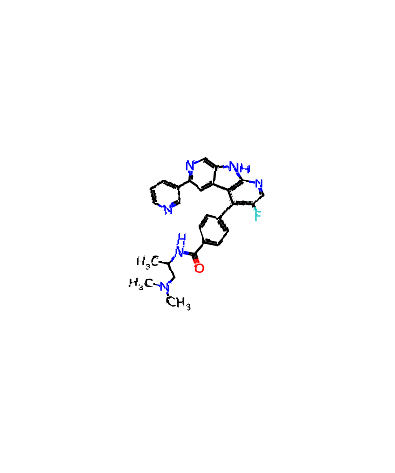 CC(CN(C)C)NC(=O)c1ccc(-c2c(F)cnc3[nH]c4cnc(-c5cccnc5)cc4c23)cc1